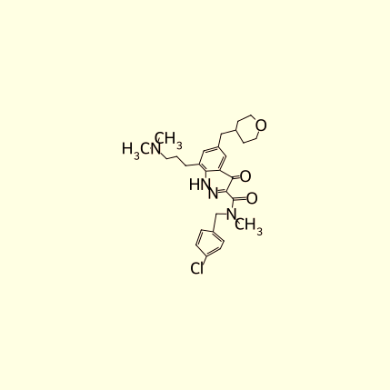 CN(C)CCCc1cc(CC2CCOCC2)cc2c(=O)c(C(=O)N(C)Cc3ccc(Cl)cc3)n[nH]c12